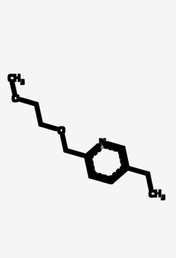 CCc1ccc(COCCOC)nc1